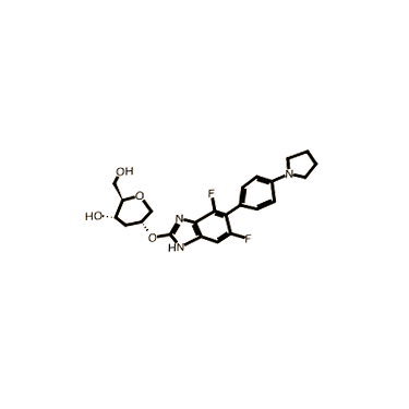 OC[C@H]1OC[C@H](Oc2nc3c(F)c(-c4ccc(N5CCCC5)cc4)c(F)cc3[nH]2)C[C@@H]1O